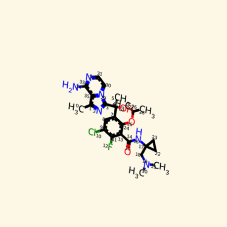 Cc1nc([C@@](C)(O)c2cc(Cl)c(F)c(C(=O)NC3(CN(C)C)CC3)c2OC(C)C)n2ccnc(N)c12